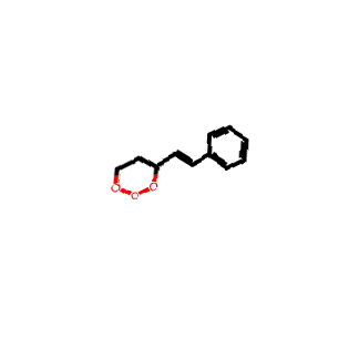 C(=CC1CCOOO1)c1ccccc1